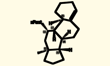 CCCCC[C@H]1C[C@]2(C)CCC[C@H]2[C@@H]2CCC3=CCCC[C@@H]3[C@@H]12